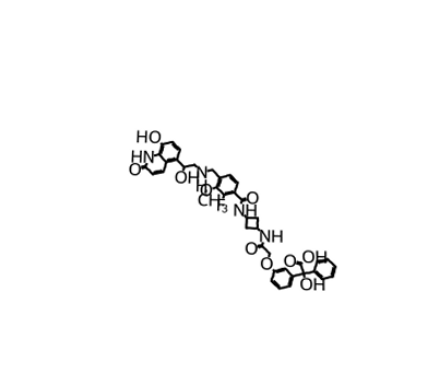 COc1c(CNCC(O)c2ccc(O)c3[nH]c(=O)ccc23)ccc(C(=O)NC2CC(NC(=O)COc3cccc(C(O)(C(=O)O)c4ccccc4)c3)C2)c1F